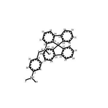 CN(C)c1ccc(CN(C)c2cccc3c2C2(c4ccccc4-c4ccccc42)c2ccccc2-3)cc1